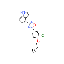 CCCOc1ccc(-c2nc(-c3cccc4[nH]ccc34)no2)cc1Cl